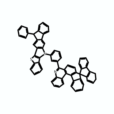 C1=CC2=C(CC1)c1ccccc1C21c2ccccc2-c2c1ccc1c(-c3cccc(-n4c5cc6c(cc5c5sc7ccccc7c54)C(c4ccccc4)c4ccccc4-6)c3)nc3ccccc3c21